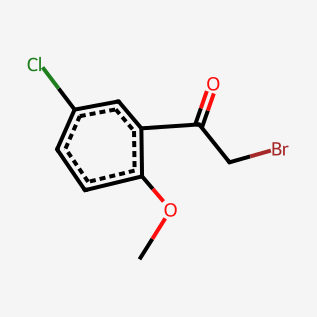 COc1ccc(Cl)cc1C(=O)CBr